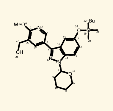 COc1ncc(-c2nn(C3CCCCO3)c3ccc(O[Si](C)(C)C(C)(C)C)cc23)cc1CO